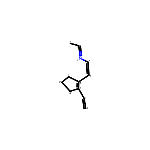 C=CC1=C(/C=C\N=C\C)CCC1